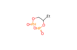 CCC1CO[PH](=O)O[PH](=O)O1